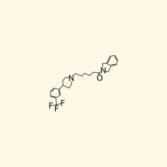 O=C(CCCCCN1CCC(c2cccc(C(F)(F)F)c2)CC1)N1Cc2ccccc2C1